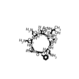 CC(=O)N[C@H](C(=O)NOC(=O)N[C@H]1CCNC(=O)[C@H]([C@@H](C)O)NC(=O)[C@H](CCN)NC(=O)[C@H](CCN)NC(=O)[C@H](CC(C)C)NC(=O)[C@@H](Cc2ccccc2)NC(=O)[C@H](CCN)NC1=O)[C@@H](C)O